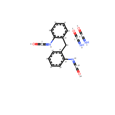 N=C=O.N=C=O.O=C=Nc1ccccc1Cc1ccccc1N=C=O